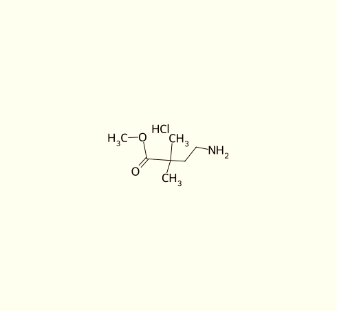 COC(=O)C(C)(C)CCN.Cl